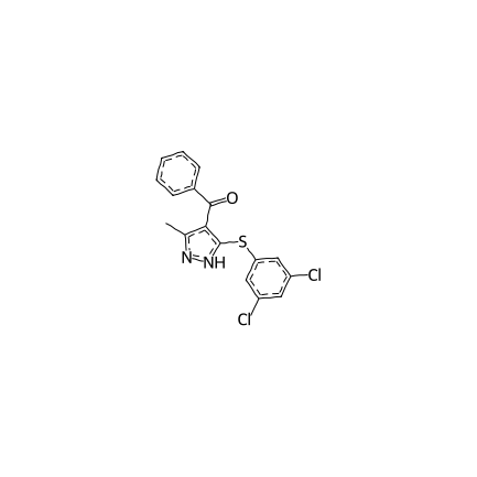 Cc1n[nH]c(Sc2cc(Cl)cc(Cl)c2)c1C(=O)c1ccccc1